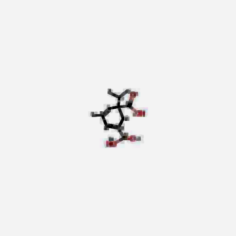 CC1=CC(C(=O)O)(C(C)C)CC(C(=O)O)=C1